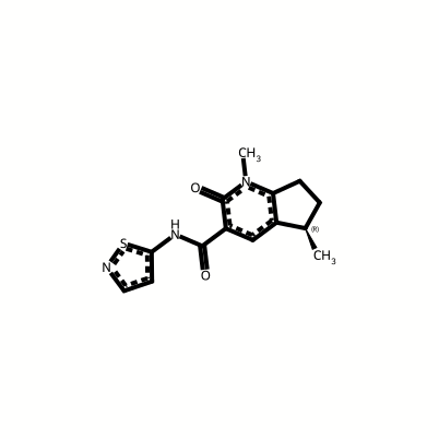 C[C@@H]1CCc2c1cc(C(=O)Nc1ccns1)c(=O)n2C